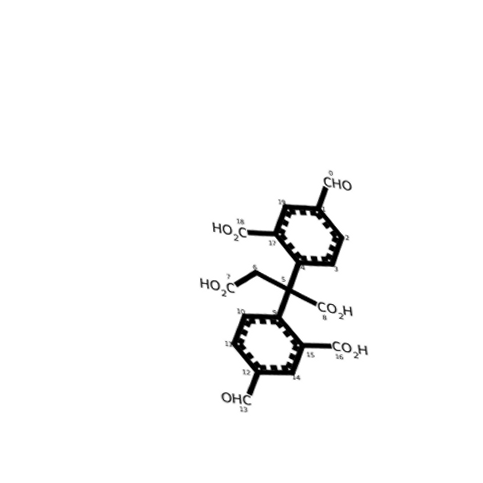 O=Cc1ccc(C(CC(=O)O)(C(=O)O)c2ccc(C=O)cc2C(=O)O)c(C(=O)O)c1